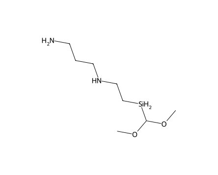 COC(OC)[SiH2]CCNCCCN